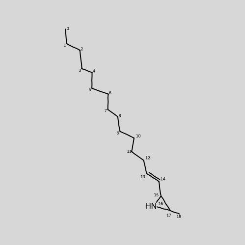 CCCCCCCCCCCCC/C=C/C1NC1C